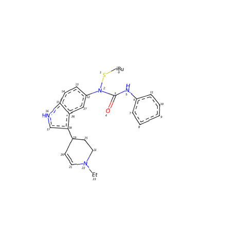 CCC(C)SN(C(=O)Nc1ccccc1)c1ccc2[nH]cc(C3C=CN(CC)CC3)c2c1